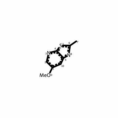 COc1cnc2sc(C)nc2c1